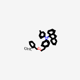 Cc1ccc(N(c2ccc(/C=C\OCc3ccccc3C=O)cc2)c2c3ccccc3cc3ccccc23)cc1